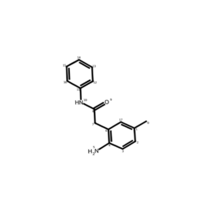 Cc1ccc(N)c(CC(=O)Nc2ccccc2)c1